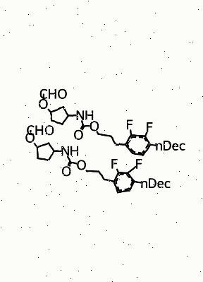 CCCCCCCCCCc1ccc(CCCOC(=O)NC2CCC(OC=O)C2)c(F)c1F.CCCCCCCCCCc1ccc(CCCOC(=O)NC2CCC(OC=O)C2)c(F)c1F